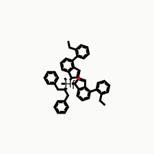 CCc1ccccc1-c1cccc2c1C=C[CH]2[Hf]([CH3])([CH3])(=[C](Cc1ccccc1)Cc1ccccc1)[CH]1C=Cc2c(-c3ccccc3CC)cccc21